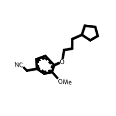 COc1cc(CC#N)ccc1OCCCC1CCCC1